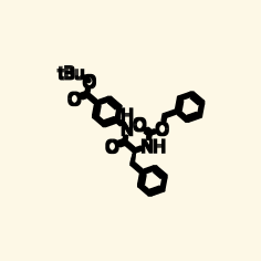 CC(C)(C)OC(=O)c1ccc(NC(=O)[C@H](Cc2ccccc2)NC(=O)OCc2ccccc2)cc1